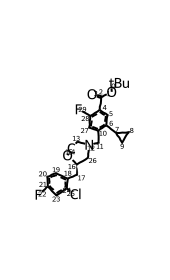 CC(C)(C)OC(=O)c1cc(C2CC2)c(CN2CCO[C@H](Cc3ccc(F)cc3Cl)C2)cc1F